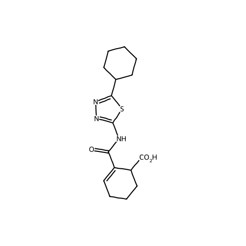 O=C(Nc1nnc(C2CCCCC2)s1)C1=CCCCC1C(=O)O